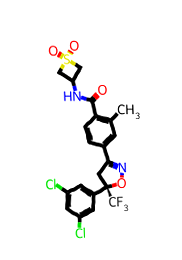 Cc1cc(C2=NO[C@@](c3cc(Cl)cc(Cl)c3)(C(F)(F)F)C2)ccc1C(=O)NC1CS(=O)(=O)C1